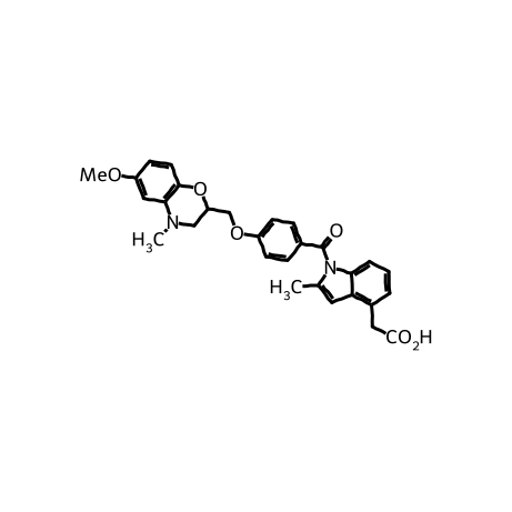 COc1ccc2c(c1)N(C)CC(COc1ccc(C(=O)n3c(C)cc4c(CC(=O)O)cccc43)cc1)O2